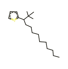 CCCCCCCCCCC(c1cccs1)C(C)(C)C